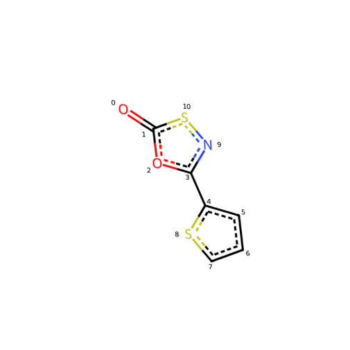 O=c1oc(-c2cccs2)ns1